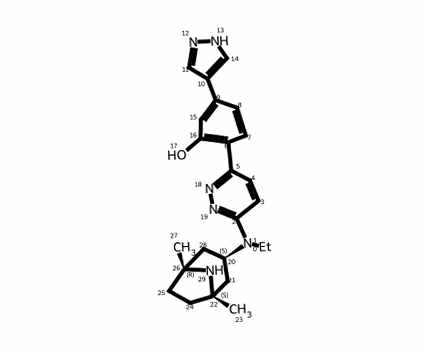 CCN(c1ccc(-c2ccc(-c3cn[nH]c3)cc2O)nn1)[C@H]1C[C@]2(C)CC[C@](C)(C1)N2